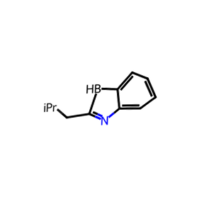 CC(C)CC1=Nc2ccccc2B1